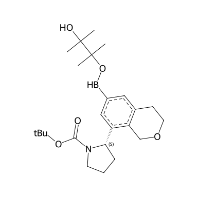 CC(C)(C)OC(=O)N1CCC[C@H]1c1cc(BOC(C)(C)C(C)(C)O)cc2c1COCC2